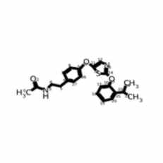 CC(=O)NCCc1ccc(Oc2cnc(Oc3ccccc3C(C)C)s2)cc1